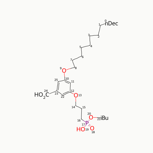 CCCCCCCCCCCCCCCCCCOc1cc(OCCCP(=O)(O)OC(C)CC)cc(C(=O)O)c1